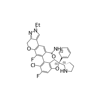 CCn1cc2c(n1)COc1c-2cc(C(N)=O)c(-c2c(Cl)c(F)cc3c2C[C@](c2ccccc2)([C@@H]2CCCN2)O3)c1F